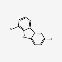 Brc1cccc2c1[nH]c1ccc(I)cc12